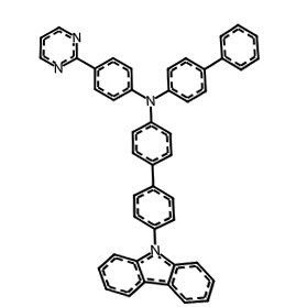 c1ccc(-c2ccc(N(c3ccc(-c4ccc(-n5c6ccccc6c6ccccc65)cc4)cc3)c3ccc(-c4ncccn4)cc3)cc2)cc1